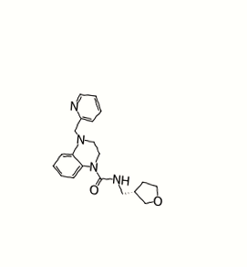 O=C(NC[C@@H]1CCOC1)N1CCN(Cc2ccccn2)c2ccccc21